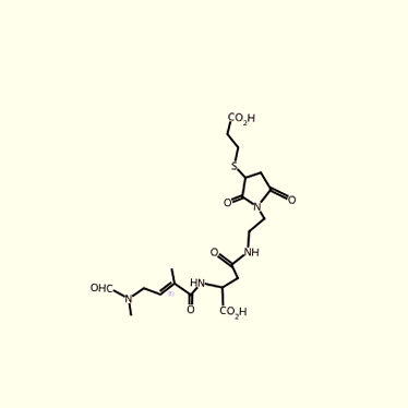 C/C(=C\CN(C)C=O)C(=O)NC(CC(=O)NCCN1C(=O)CC(SCCC(=O)O)C1=O)C(=O)O